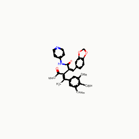 COC(=O)C(C(=Cc1ccc2c(c1)OCO2)C(=O)Nc1ccncc1)=C(C)c1cc(OC)c(OC)c(OC)c1